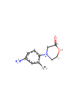 Cc1cc(N)ccc1N1CCOC(=O)C1